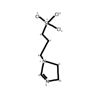 Cl[Si](Cl)(Cl)CCCN1C=NCC1